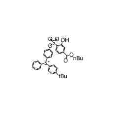 CC(C)(C)c1ccc([S+](c2ccccc2)c2ccccc2)cc1.CCCCOC(=O)c1ccc(S(=O)(=O)[O-])c(O)c1